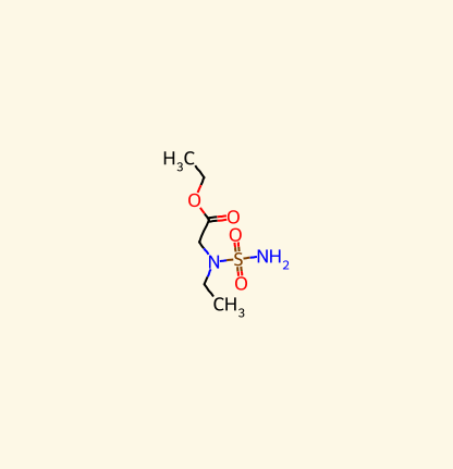 CCOC(=O)CN(CC)S(N)(=O)=O